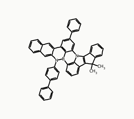 CC1(C)c2ccccc2-c2c1c1cccc3c1n2-c1cc(-c2ccccc2)cc2c1B3N(c1ccc(-c3ccccc3)cc1)c1cc3ccccc3cc1-2